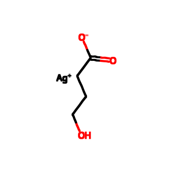 O=C([O-])CCCO.[Ag+]